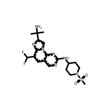 CC(C)(N)c1cn2c(n1)c(C(F)F)cc1cnc(NC3CCN(S(C)(=O)=O)CC3)nc12